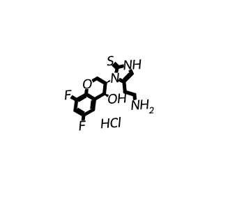 Cl.NCCc1c[nH]c(=S)n1[C@H]1COc2c(F)cc(F)cc2[C@@H]1O